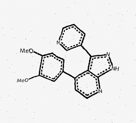 COc1ccc(-c2ccnc3[nH]nc(-c4cccnc4)c23)cc1OC